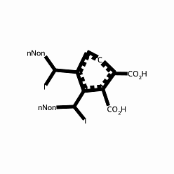 CCCCCCCCCC(I)c1ccc(C(=O)O)c(C(=O)O)c1C(I)CCCCCCCCC